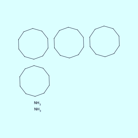 C1CCCCCCCCC1.C1CCCCCCCCC1.C1CCCCCCCCC1.C1CCCCCCCCC1.N.N